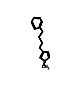 Cn1ccc(CCCCc2ccccc2)c1